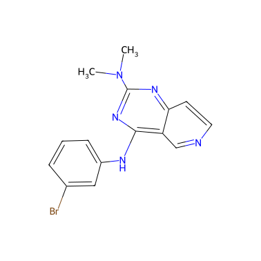 CN(C)c1nc(Nc2cccc(Br)c2)c2cnccc2n1